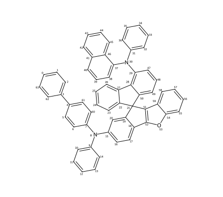 c1ccc(-c2ccc(N(c3ccccc3)c3ccc4c(c3)C3(c5ccccc5-c5c(N(c6ccccc6)c6cccc7ccccc67)cccc53)c3c-4oc4ccccc34)cc2)cc1